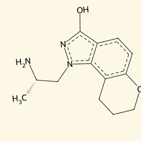 C[C@H](N)Cn1nc(O)c2ccc3c(c21)CCCO3